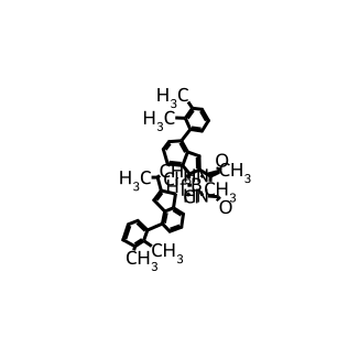 Cc1cccc(-c2cccc3c2C=C(C(C)C)[CH]3[Hf]([Cl])([Cl])([B](NC=O)NC=O)[CH]2C(C(C)C)=Cc3c(-c4cccc(C)c4C)cccc32)c1C